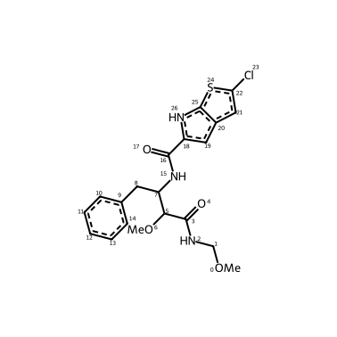 COCNC(=O)C(OC)C(Cc1ccccc1)NC(=O)c1cc2cc(Cl)sc2[nH]1